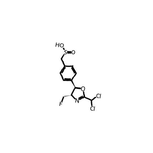 O=S(O)Cc1ccc([C@H]2OC(C(Cl)Cl)=N[C@@H]2CF)cc1